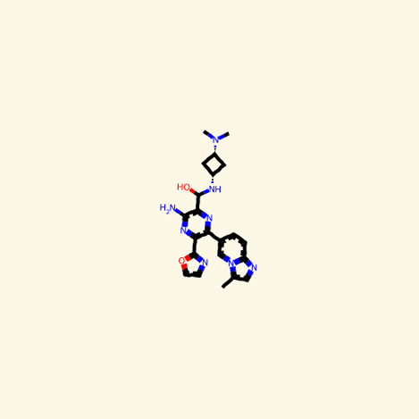 Cc1cnc2ccc(-c3nc(C(O)N[C@H]4C[C@@H](N(C)C)C4)c(N)nc3-c3ncco3)cn12